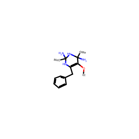 CCOC1=C(Cc2ccccc2)NC(N)(OC)NC1(N)OC